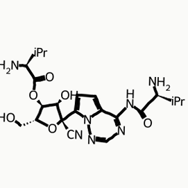 CC(C)[C@H](N)C(=O)Nc1ncnn2c([C@]3(C#N)O[C@H](CO)[C@@H](OC(=O)[C@@H](N)C(C)C)[C@H]3O)ccc12